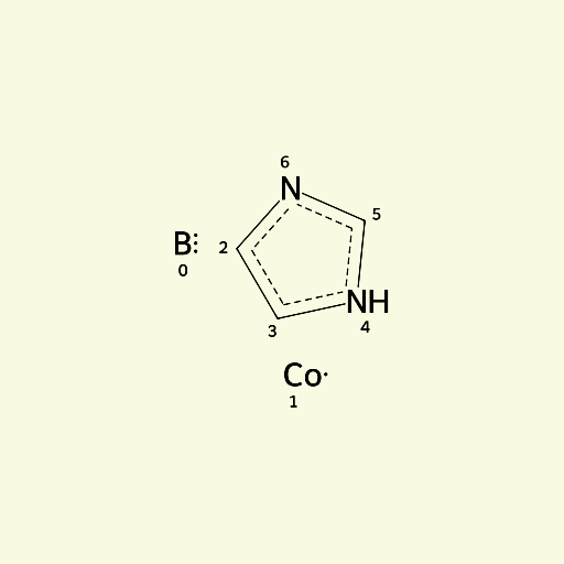 [B].[Co].c1c[nH]cn1